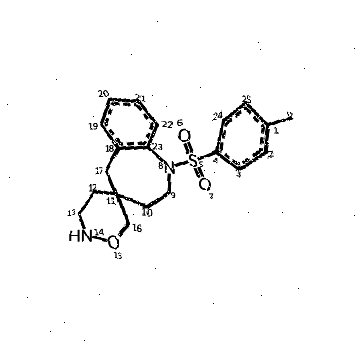 Cc1ccc(S(=O)(=O)N2CCC3(CCNOC3)Cc3ccccc32)cc1